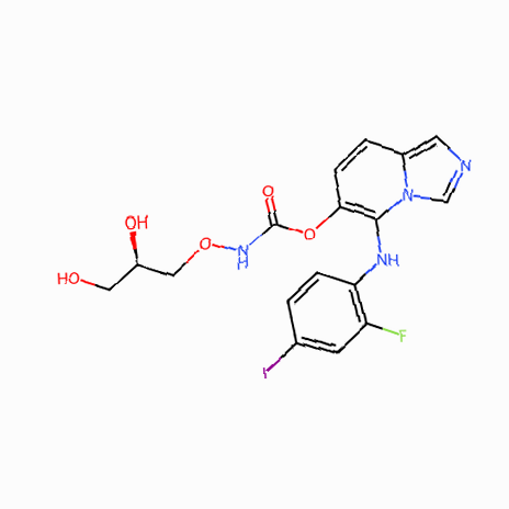 O=C(NOC[C@H](O)CO)Oc1ccc2cncn2c1Nc1ccc(I)cc1F